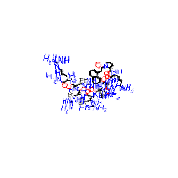 CCC(NC(=N)N)[C@H](NC(=O)[C@H](CCCCN)NC(=O)[C@@H]1CCCN1C(=O)Cc1cccc2ccccc12)C(=O)N[C@H](C(=O)N[C@H](C(=O)N[C@H](C(=O)N[C@H](C(=O)N[C@@H](CCCNC(=N)N)C(N)=O)C(CC)NC(=N)N)C(CC)NC(=N)N)C(CC)NC(=N)N)C(CC)NC(=N)N